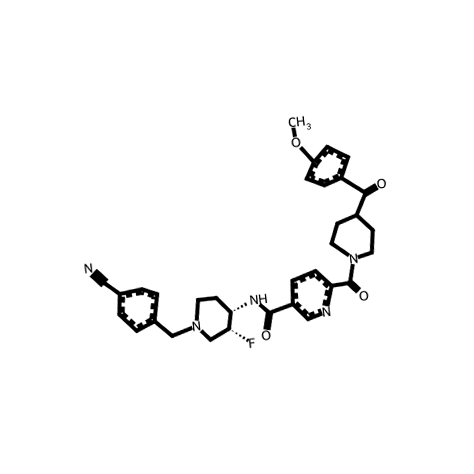 COc1ccc(C(=O)C2CCN(C(=O)c3ccc(C(=O)N[C@H]4CCN(Cc5ccc(C#N)cc5)C[C@H]4F)cn3)CC2)cc1